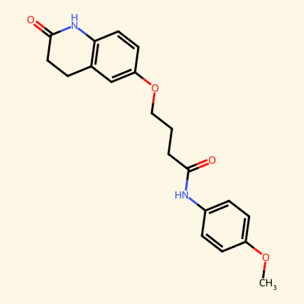 COc1ccc(NC(=O)CCCOc2ccc3c(c2)CCC(=O)N3)cc1